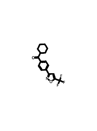 O=C(c1ccc(-c2cc(C(F)(F)F)on2)cc1)C1CCCCC1